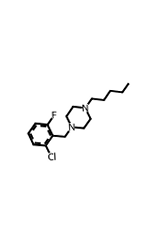 CCCCCN1CCN(Cc2c(F)cccc2Cl)CC1